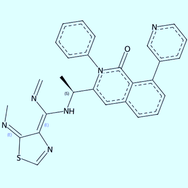 C=N/C(N[C@@H](C)c1cc2cccc(-c3cccnc3)c2c(=O)n1-c1ccccc1)=C1/N=CS/C1=N/C